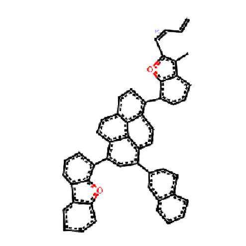 C=C/C=C\c1oc2c(-c3ccc4ccc5c(-c6cccc7c6oc6ccccc67)cc(-c6ccc7ccccc7c6)c6ccc3c4c65)cccc2c1C